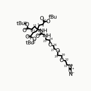 CC(C)(C)OC(=O)CCC(CCC(=O)OC(C)(C)C)(CCC(=O)OC(C)(C)C)NC(=O)NCCOCCOCCOCCN=[N+]=[N-]